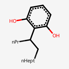 CCCCCCCCC(CCC)c1c(O)cccc1O